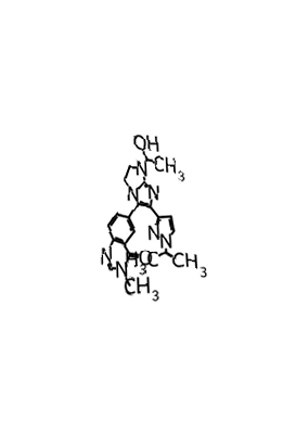 CC(O)N1CCn2c1nc(-c1ccn(C(C)C)n1)c2-c1ccc2ncn(C)c(=O)c2c1